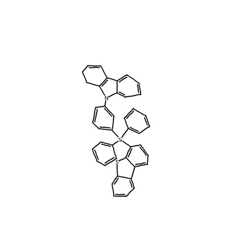 C1=Cc2c(n(-c3cccc([Si](c4ccccc4)(c4ccccc4)c4cccc5c4sc4ccccc45)c3)c3ccccc23)CC1